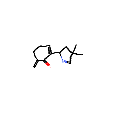 C=C1CCC=C(C2CC(C)(C)C=N2)C1=O